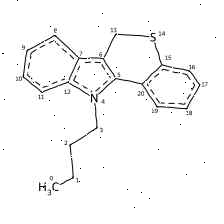 CCCCn1c2c(c3ccccc31)CSc1ccccc1-2